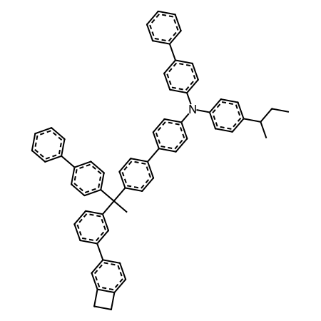 CCC(C)c1ccc(N(c2ccc(-c3ccccc3)cc2)c2ccc(-c3ccc(C(C)(c4ccc(-c5ccccc5)cc4)c4cccc(-c5ccc6c(c5)CC6)c4)cc3)cc2)cc1